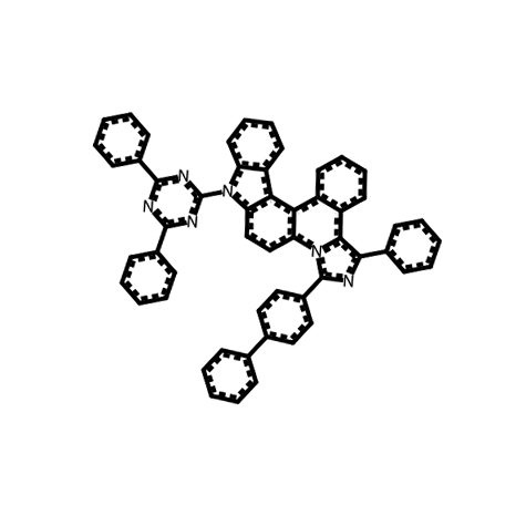 c1ccc(-c2ccc(-c3nc(-c4ccccc4)c4c5ccccc5c5c6c7ccccc7n(-c7nc(-c8ccccc8)nc(-c8ccccc8)n7)c6ccc5n34)cc2)cc1